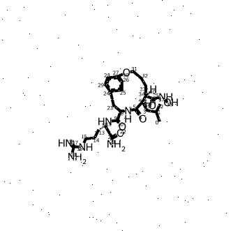 CC(C)C[C@H]1C(=O)NC(C(=O)N[C@@H](CCCNC(=N)N)C(N)=O)Cc2ccc(cc2)OCCC[C@@H]1C(=O)NO